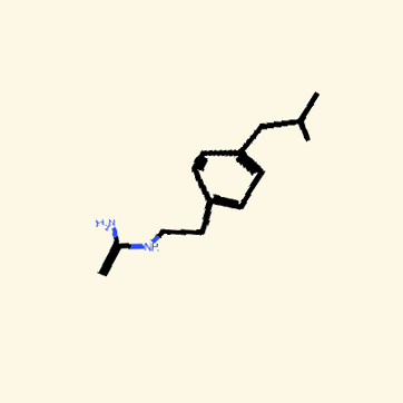 C=C(N)NCCc1ccc(CC(C)C)cc1